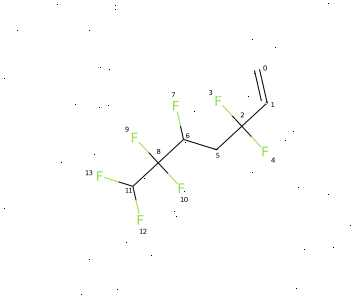 C=CC(F)(F)CC(F)C(F)(F)C(F)F